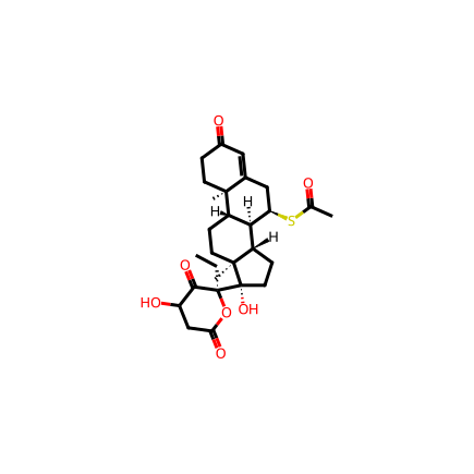 CC[C@]1([C@]2(O)CC[C@H]3[C@@H]4[C@H](SC(C)=O)CC5=CC(=O)CC[C@]5(C)[C@H]4CC[C@@]32C)OC(=O)CC(O)C1=O